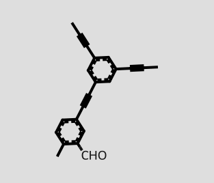 CC#Cc1cc(C#CC)cc(C#Cc2ccc(C)c(C=O)c2)c1